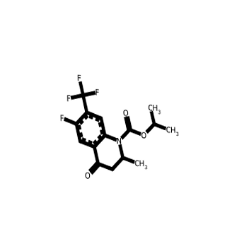 CC(C)OC(=O)N1c2cc(C(F)(F)F)c(F)cc2C(=O)CC1C